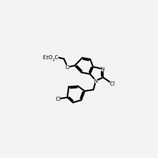 CCOC(=O)COc1ccc2nc(Cl)n(Cc3ccc(Cl)cc3)c2c1